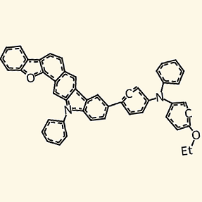 CCOc1ccc(N(c2ccccc2)c2ccc(-c3ccc4c(c3)c3cc5ccc6c7ccccc7oc6c5cc3n4-c3ccccc3)cc2)cc1